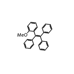 COc1ccccc1C(=C(c1ccccc1)c1ccccc1)c1ccccc1